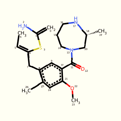 C=C(N)S/C(=C\C)Cc1cc(C(=O)N2CCCN[C@H](C)C2)c(OC)cc1C